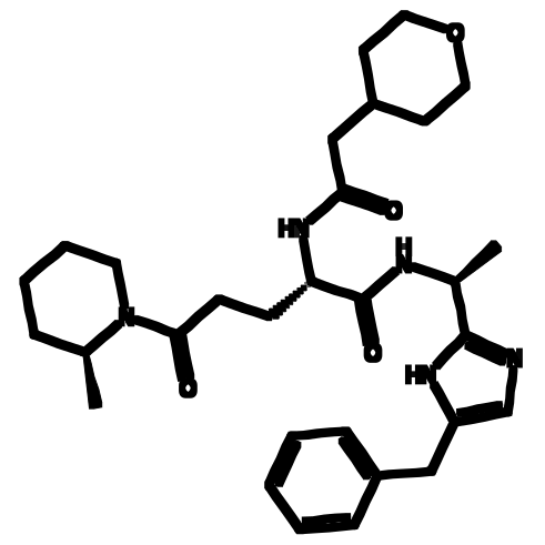 C[C@H](NC(=O)[C@H](CCC(=O)N1CCCC[C@@H]1C)NC(=O)CC1CCOCC1)c1ncc(Cc2ccccc2)[nH]1